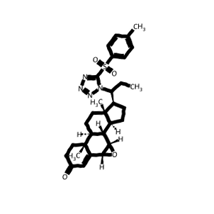 CCC([C@H]1CC[C@H]2[C@@H]3[C@@H]4O[C@@H]4C4=CC(=O)CC[C@]4(C)[C@H]3CC[C@]12C)n1nnnc1S(=O)(=O)c1ccc(C)cc1